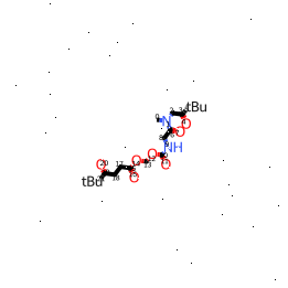 CN(CC(=O)C(C)(C)C)C(=O)CNC(=O)OCOC(=O)CCC(=O)C(C)(C)C